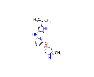 CC(C)c1cc(Nc2cncc(O[C@@H]3CCN[C@@H](C)C3)n2)n[nH]1